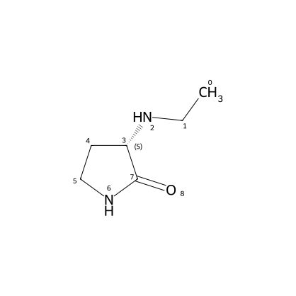 CCN[C@H]1CCNC1=O